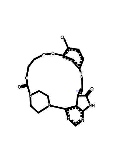 O=C1Nc2ncnc3c2/C1=C/Nc1ccc(Cl)c(c1)OCCCCC(=O)N1CCN3CC1